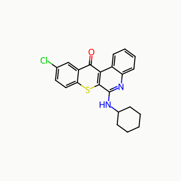 O=c1c2cc(Cl)ccc2sc2c(NC3CCCCC3)nc3ccccc3c12